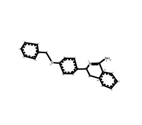 NC1=NC(c2ccc(OCc3ccccc3)cc2)Cc2ccccc21